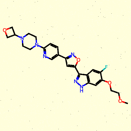 COCCOc1cc2[nH]nc(-c3cc(-c4ccc(N5CCN(C6COC6)CC5)nc4)no3)c2cc1F